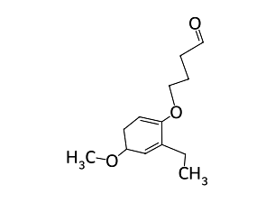 CCC1=CC(OC)CC=C1OCCCC=O